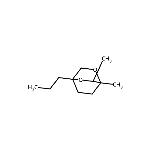 CCCC12CCC(C)(OC1)C(C)C2